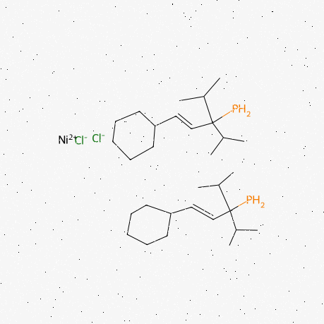 CC(C)C(P)(C=CC1CCCCC1)C(C)C.CC(C)C(P)(C=CC1CCCCC1)C(C)C.[Cl-].[Cl-].[Ni+2]